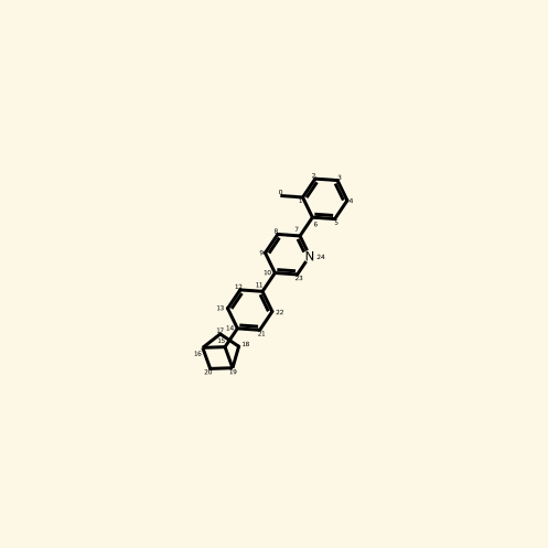 Cc1ccccc1-c1ccc(-c2ccc(C3C4CCC3C4)cc2)cn1